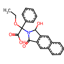 CCOC(C(=O)O)(c1ccccc1)N1C(=O)c2cc3ccccc3cc2C1O